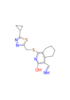 N=Cc1c(O)nc(SCc2nnc(C3CC3)s2)c2c1CCCC2